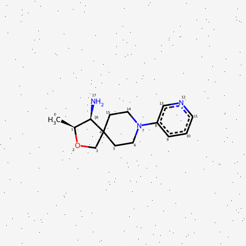 C[C@@H]1OCC2(CCN(c3cccnc3)CC2)[C@@H]1N